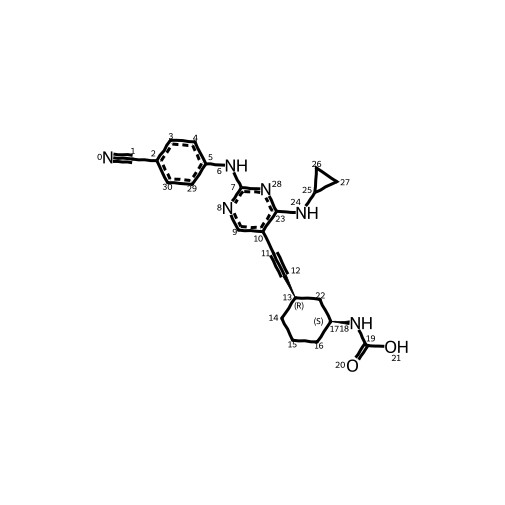 N#Cc1ccc(Nc2ncc(C#C[C@@H]3CCC[C@H](NC(=O)O)C3)c(NC3CC3)n2)cc1